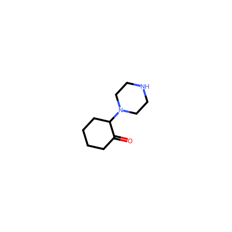 O=C1CCCCC1N1CCNCC1